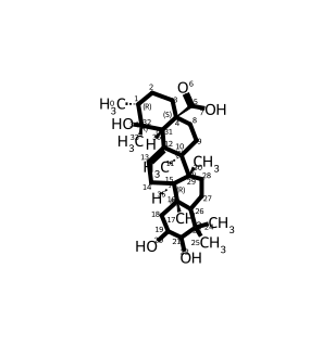 C[C@@H]1CC[C@]2(C(=O)O)CC[C@]3(C)C(=CC[C@@H]4[C@@]5(C)CC(O)C(O)C(C)(C)C5CC[C@]43C)[C@@H]2[C@]1(C)O